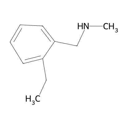 CCc1ccccc1CNC